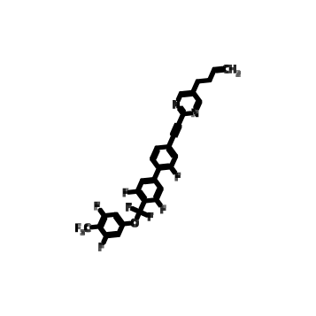 C=CCCc1cnc(C#Cc2ccc(-c3cc(F)c(C(F)(F)Oc4cc(F)c(C(F)(F)F)c(F)c4)c(F)c3)c(F)c2)nc1